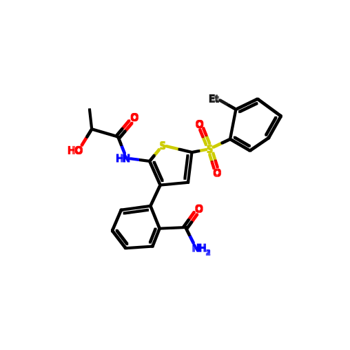 CCc1ccccc1S(=O)(=O)c1cc(-c2ccccc2C(N)=O)c(NC(=O)C(C)O)s1